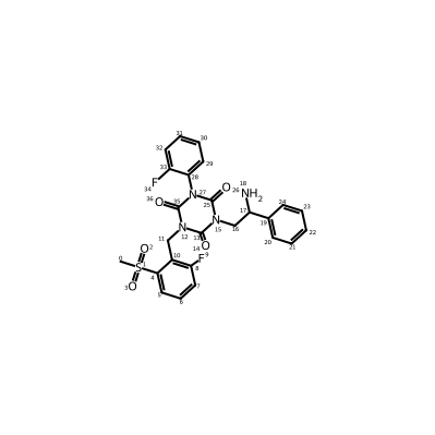 CS(=O)(=O)c1cccc(F)c1Cn1c(=O)n(CC(N)c2ccccc2)c(=O)n(-c2ccccc2F)c1=O